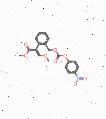 CO/C=C(/C(=O)OC)c1ccccc1COC(=O)Oc1ccc([N+](=O)[O-])cc1